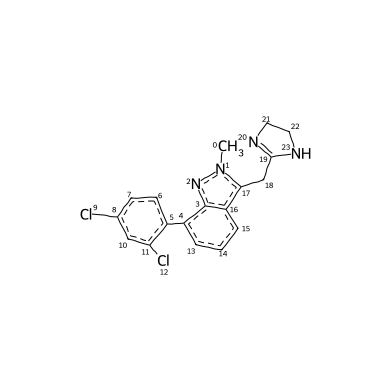 Cn1nc2c(-c3ccc(Cl)cc3Cl)cccc2c1CC1=NCCN1